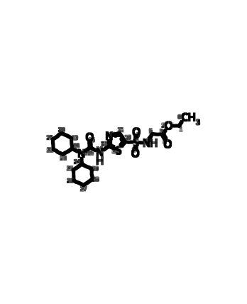 CCOC(=O)CNS(=O)(=O)c1cnc(NC(=O)N(C2CCCCC2)C2CCCCC2)s1